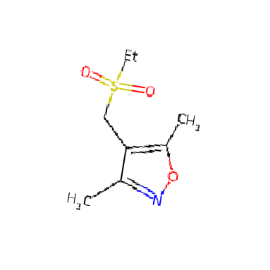 CCS(=O)(=O)Cc1c(C)noc1C